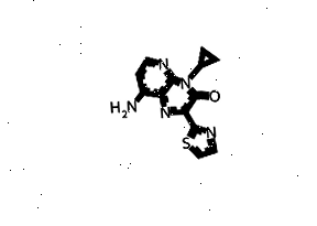 Nc1ccnc2c1nc(-c1nccs1)c(=O)n2C1CC1